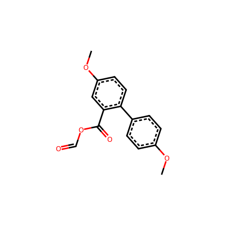 COc1ccc(-c2ccc(OC)cc2C(=O)OC=O)cc1